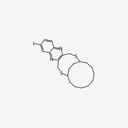 Ic1ccc2nc3c(nc2c1)CSC1CCCCCCCCC(CC1)SC3